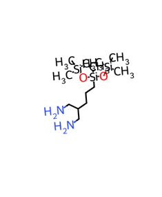 C[Si](C)(C)O[Si](C)(CCCC(CN)CN)O[Si](C)(C)C